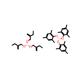 C=C(CC)COB(OCC(=C)CC)OCC(=C)CC.Cc1cc(C)c(OB(Oc2c(C)cc(C)cc2C)Oc2c(C)cc(C)cc2C)c(C)c1